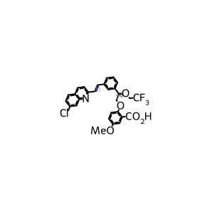 COc1ccc(OC[C@H](OCC(F)(F)F)c2cccc(/C=C/c3ccc4ccc(Cl)cc4n3)c2)c(C(=O)O)c1